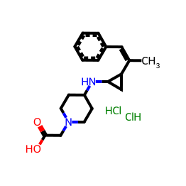 CC(=Cc1ccccc1)C1CC1NC1CCN(CC(=O)O)CC1.Cl.Cl